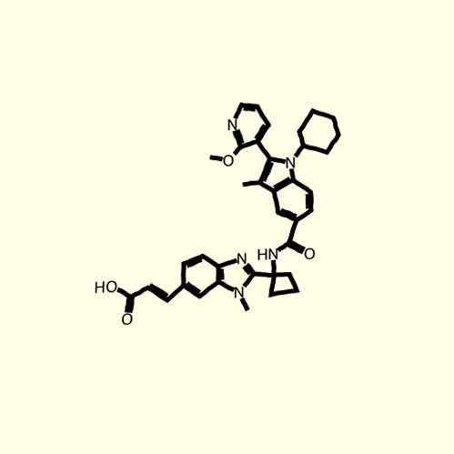 COc1ncccc1-c1c(C)c2cc(C(=O)NC3(c4nc5ccc(/C=C/C(=O)O)cc5n4C)CCC3)ccc2n1C1CCCCC1